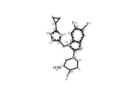 N[C@@H]1CN(c2nc3cc(F)c(F)cc3n2Cc2nnc(C3CC3)o2)CCC1F